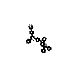 c1ccc(-c2oc3c(ccc4c3c3ccccc3n4-c3ccc(-c4cc(-c5ccc(-c6ccncc6)cc5)cc(-c5ccncc5)n4)cc3)c2-c2ccccc2)cc1